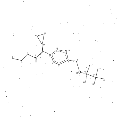 CCCNC(c1ccc(CO[Si](C)(C)C(C)(C)C)nc1)C1CC1